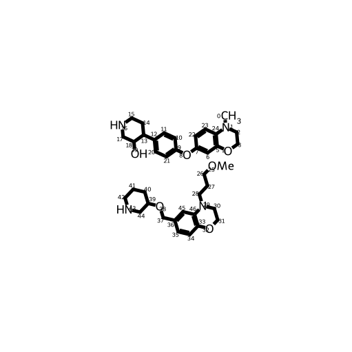 CN1CCOc2cc(Oc3ccc(C4CCNCC4O)cc3)ccc21.COCCCN1CCOc2ccc(COC3CCCNC3)cc21